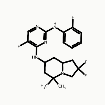 CC1(C)CC(Nc2nc(Nc3ccccc3F)ncc2F)CC2CC(F)(F)CN21